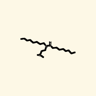 CCCCCCCCNN(CCCCCCCC)CCN(C)C